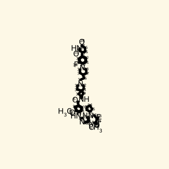 COc1cc(C(=O)NC2CC3(CCN(CCC4CCN(c5ccc(C6CCC(=O)NC6=O)cc5F)CC4)CC3)C2)ccc1Nc1ncc2c(n1)N(C1CCCC1)CC(F)(F)C(=O)N2C